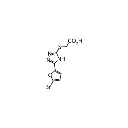 O=C(O)CSc1nnc(-c2ccc(Br)o2)[nH]1